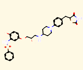 O=C1NC(=O)C(Cc2ccc(N3CCC(NC[C@@H](O)COc4ccc(O)c(NS(=O)(=O)c5ccccc5)c4)CC3)cc2)S1